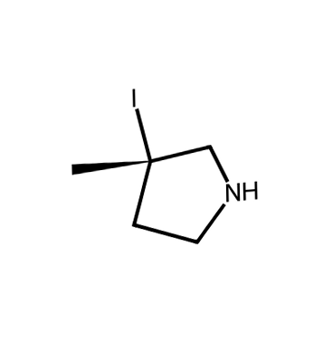 C[C@]1(I)CCNC1